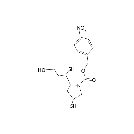 O=C(OCc1ccc([N+](=O)[O-])cc1)N1CC(S)CC1C(S)CCO